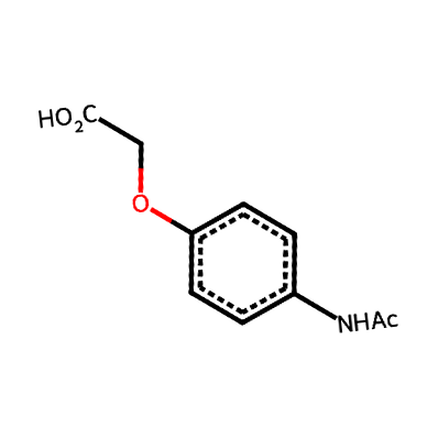 CC(=O)Nc1ccc(OCC(=O)O)cc1